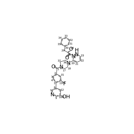 O=C(c1ccc(-c2cncc(O)c2)c(F)c1)N1CCN(C2=CC=CNN2S(=O)(=O)Cc2ccccc2)CC1